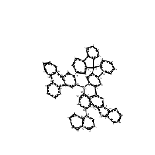 c1ccc2c(c1)-c1ccccc1C21c2ccccc2-c2cc(-c3ccc4sc5ccccc5c4c3)c(N(c3ccc(-c4cccc5ccccc45)cc3)c3ccc4c5ccccc5c5ccccc5c4c3)cc21